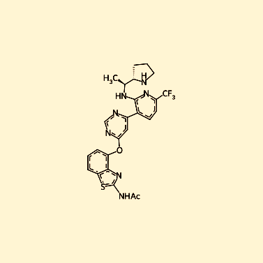 CC(=O)Nc1nc2c(Oc3cc(-c4ccc(C(F)(F)F)nc4N[C@@H](C)[C@@H]4CCCN4)ncn3)cccc2s1